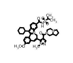 COc1ccc2c(c1)C=C(c1c(C(=O)N3CCN4CCCC4C3)cnn1C)Cn1c-2c(C2CCCCC2)c2ccc(C(=O)NS(=O)(=O)C(C)C)cc21